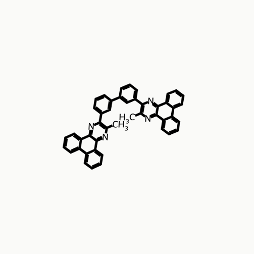 Cc1nc2c3ccccc3c3ccccc3c2nc1-c1cccc(-c2cccc(-c3nc4c5ccccc5c5ccccc5c4nc3C)c2)c1